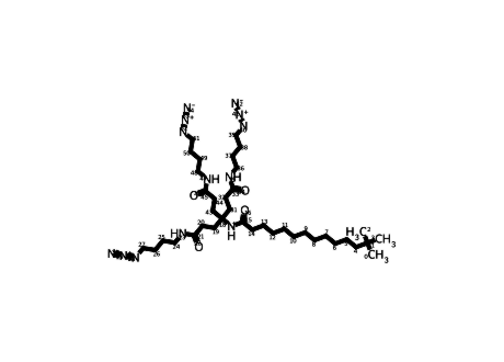 CC(C)(C)CCCCCCCCCCCC(=O)NC(CCC(=O)NCCCCN=[N+]=[N-])(CCC(=O)NCCCCN=[N+]=[N-])CCC(=O)NCCCCN=[N+]=[N-]